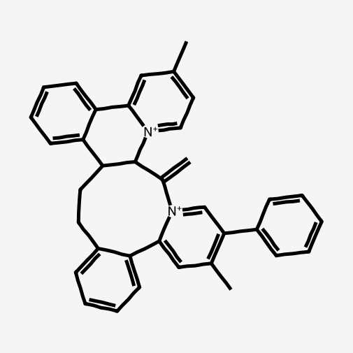 C=C1C2C(CCc3ccccc3-c3cc(C)c(-c4ccccc4)c[n+]31)c1ccccc1-c1cc(C)cc[n+]12